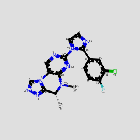 CC[C@@H]1c2nncn2-c2cnc(-n3ccnc3-c3ccc(F)c(Cl)c3)nc2N1C(C)C